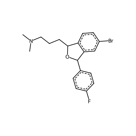 CN(C)CCCC1OC(c2ccc(F)cc2)c2cc(Br)ccc21